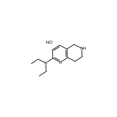 CCN(CC)c1ccc2c(n1)CCNC2.Cl